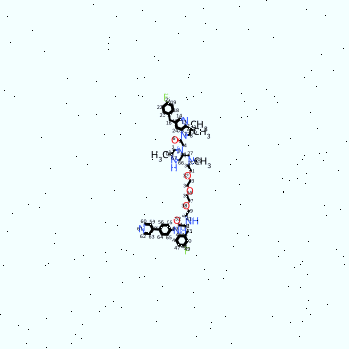 C[C@@H]1CN(CC(=O)N2CC(C)(C)c3ncc(Cc4ccc(F)cc4)cc32)[C@@H](CN(C)CCOCCOCCOCCN[C@H](Cc2cccc(F)c2)C(=O)Nc2ccc(-c3ccncc3)cc2)CN1